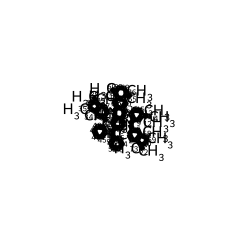 Cc1cc2c(cc1N1c3cc(C(C)(C)C)ccc3B3c4cc5c(cc4N(c4cc6c(cc4C)C(C)(C)CC6(C)C)c4cc(N(c6ccccc6)c6ccccc6)cc1c43)C(C)(C)CCC5(C)C)C(C)(C)CC2(C)C